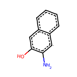 Nc1[c]c2ccccc2cc1O